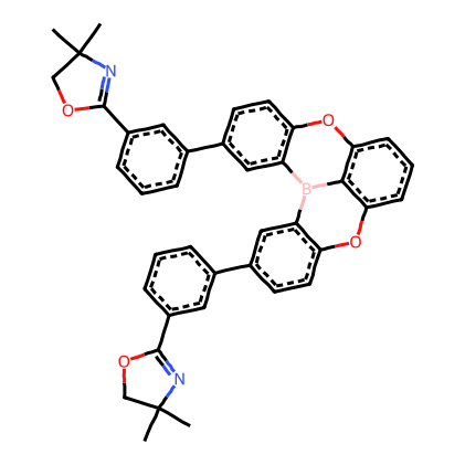 CC1(C)COC(c2cccc(-c3ccc4c(c3)B3c5cc(-c6cccc(C7=NC(C)(C)CO7)c6)ccc5Oc5cccc(c53)O4)c2)=N1